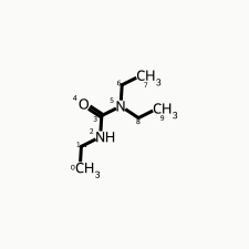 C[CH]NC(=O)N(CC)CC